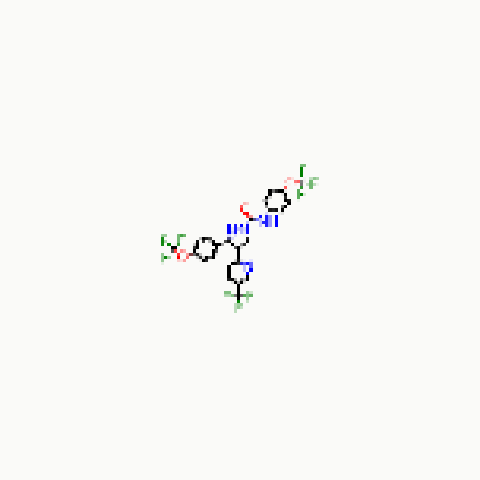 O=C(Nc1ccc(OC(F)(F)F)cc1)N1CC(c2ccc(C(F)(F)F)cn2)C(c2ccc(OC(F)(F)F)cc2)=N1